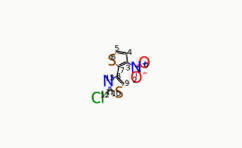 O=[N+]([O-])c1ccsc1-c1csc(Cl)n1